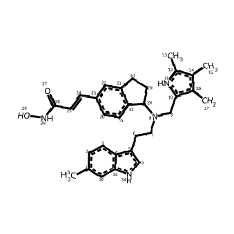 Cc1ccc2c(CCN(Cc3[nH]c(C)c(C)c3C)C3CCc4cc(C=CC(=O)NO)ccc43)c[nH]c2c1